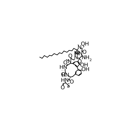 CCCCCCCCCCCCCCCC(=O)N(C)[C@H](CO)C(=O)N[C@H](N)C(=O)NCC(=O)N(C)[C@@H]1C(=O)N[C@@H](C)C(=O)N[C@H](C(=O)NC(C=O)SC)Cc2ccc(O)c(c2)-c2cc1ccc2O